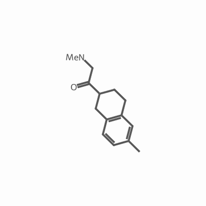 CNCC(=O)C1CCc2cc(C)ccc2C1